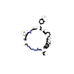 CO[C@@H]1C[C@H](C[C@@H](C)[C@@H]2CC(=O)[C@H](C)/C=C(\C)[C@@H](O)[C@@H](OC)C(=O)[C@H](C)C[C@H](C)/C=C/C=C/C=C(\C)C(OC3COC3)C[C@@H]3CC[C@@H](C)[C@@](O)(O3)C(=O)C(=O)N3CCCCC3C(=O)O2)CC[C@H]1O